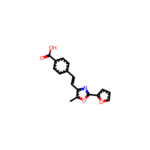 Cc1oc(-c2ccco2)nc1C=Cc1ccc(C(=O)O)cc1